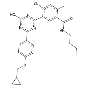 CCCCNC(=O)c1cc(-c2nc(O)nc(-c3ccc(OCC4CC4)cc3)n2)c(Cl)cc1C